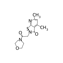 Cc1cc(C)c2c(=O)n(CC(=O)N3CCOCC3)sc2n1